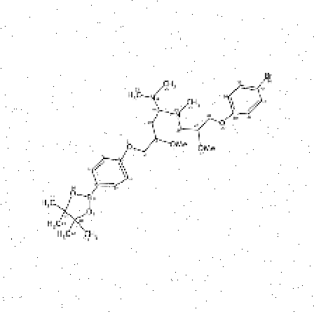 COC(COc1ccc(B2OC(C)(C)C(C)(C)O2)cc1)CC(N(C)C)N(C)CC(COc1ccc(Br)cc1)OC